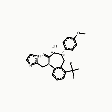 COc1ccc([C@@H]2Cc3c(cccc3C(F)(F)F)N(Cc3ncc[nH]3)C(=O)[C@@H]2O)cc1